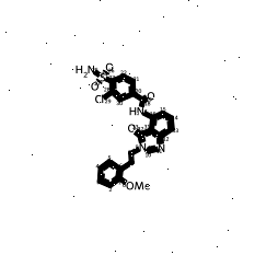 COc1ccccc1CCn1cnc2cccc(NC(=O)c3ccc(S(N)(=O)=O)c(Cl)c3)c2c1=O